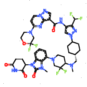 CN(C[C@H]1CC[C@H](n2cc(NC(=O)c3cnn4ccc(N5CCOC(F)(F)C5)nc34)c(C(F)F)n2)CC1)C1CCN(c2cccc3c2n(C)c(=O)n3C2CCC(=O)NC2=O)CC1(F)F